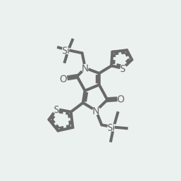 C[Si](C)(C)CN1C(=O)C2=C(c3cccs3)N(C[Si](C)(C)C)C(=O)C2=C1c1cccs1